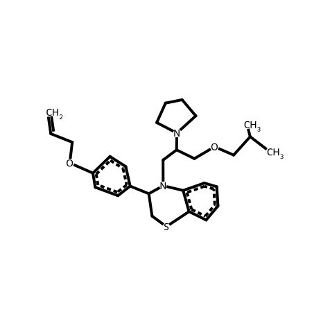 C=CCOc1ccc(C2CSc3ccccc3N2CC(COCC(C)C)N2CCCC2)cc1